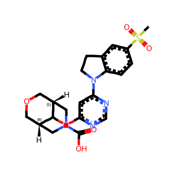 CS(=O)(=O)c1ccc2c(c1)CCN2c1cc(OC2[C@@H]3COC[C@H]2CN(C(=O)O)C3)ncn1